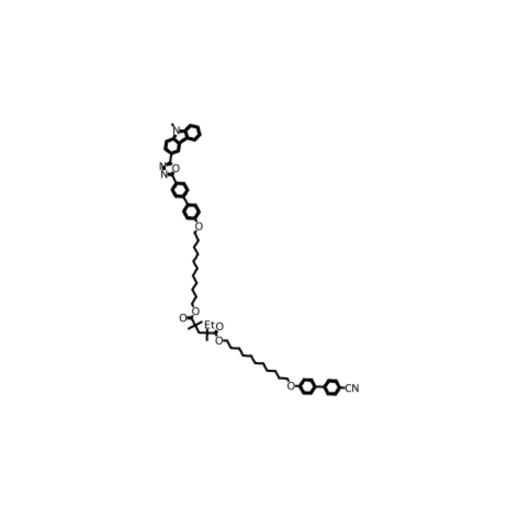 CCC(C)(CC(C)(C)C(=O)OCCCCCCCCCCCOc1ccc(-c2ccc(-c3nnc(-c4ccc5c(c4)c4ccccc4n5C)o3)cc2)cc1)C(=O)OCCCCCCCCCCCOc1ccc(-c2ccc(C#N)cc2)cc1